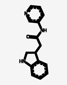 O=C(CC1CNc2ccccc21)Nc1cccnc1